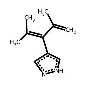 C=C(C)C(=C(C)C)c1cn[nH]c1